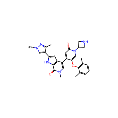 Cc1cccc(C)c1Oc1cn(C2CNC2)c(=O)cc1-c1cn(C)c(=O)c2[nH]c(-c3cn(C(C)C)nc3C)cc12